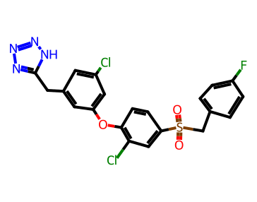 O=S(=O)(Cc1ccc(F)cc1)c1ccc(Oc2cc(Cl)cc(Cc3nnn[nH]3)c2)c(Cl)c1